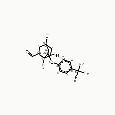 O=CN1C[C@@H]2CC[C@H]1[C@H](Oc1ccc(C(F)(F)F)cn1)C2